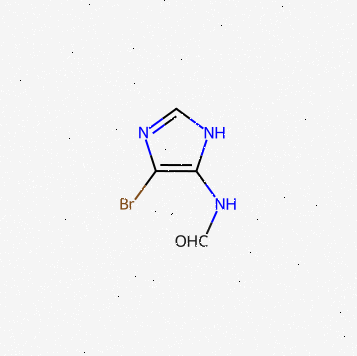 O=CNc1[nH]cnc1Br